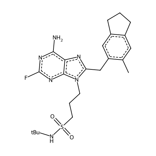 Cc1cc2c(cc1Cc1nc3c(N)nc(F)nc3n1CCCS(=O)(=O)NC(C)(C)C)CCC2